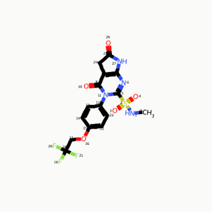 CNS(=O)(=O)c1nc2c(c(=O)n1-c1ccc(OCC(F)(F)F)cc1)CC(=O)N2